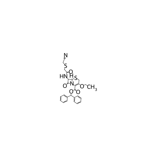 CCOC1=C(C(=O)OC(c2ccccc2)c2ccccc2)N2C(=O)C(NC(=O)CSCC#N)[C@H]2SC1